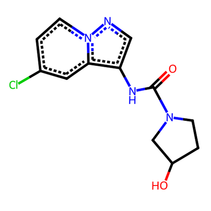 O=C(Nc1cnn2ccc(Cl)cc12)N1CCC(O)C1